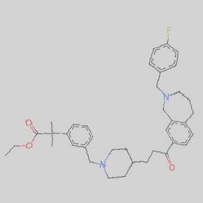 CCOC(=O)C(C)(C)c1cccc(CN2CCC(CCC(=O)c3ccc4c(c3)CN(Cc3ccc(F)cc3)CCC4)CC2)c1